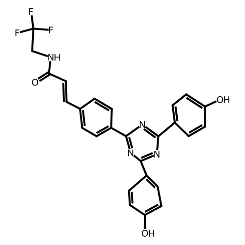 O=C(/C=C/c1ccc(-c2nc(-c3ccc(O)cc3)nc(-c3ccc(O)cc3)n2)cc1)NCC(F)(F)F